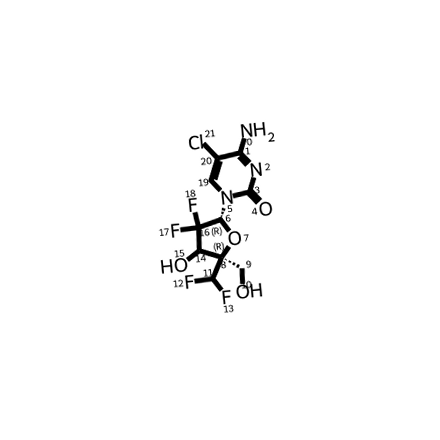 Nc1nc(=O)n([C@@H]2O[C@@](CO)(C(F)F)C(O)C2(F)F)cc1Cl